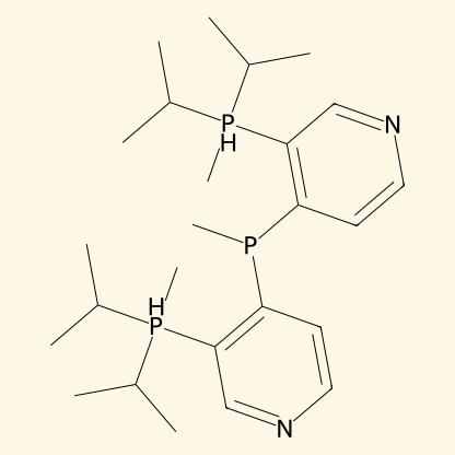 CC(C)[PH](C)(c1cnccc1P(C)c1ccncc1[PH](C)(C(C)C)C(C)C)C(C)C